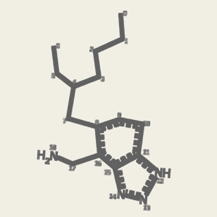 CCCCC(CC)Cc1ccc2[nH]nnc2c1CN